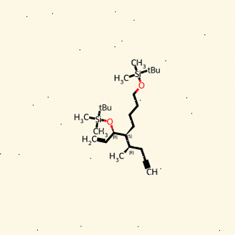 C#CC[C@@H](C)[C@H](CCCCO[Si](C)(C)C(C)(C)C)[C@@H](C=C)O[Si](C)(C)C(C)(C)C